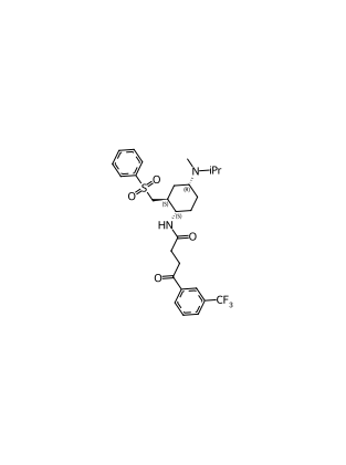 CC(C)N(C)[C@@H]1CC[C@H](NC(=O)CCC(=O)c2cccc(C(F)(F)F)c2)[C@@H](CS(=O)(=O)c2ccccc2)C1